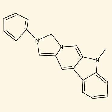 Cn1c2c(c3ccccc31)=CC1=CN(c3ccccc3)CN1C=2